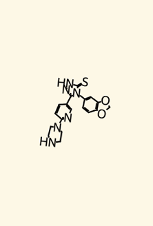 S=c1[nH]nc(-c2ccc(N3CCNCC3)nc2)n1-c1ccc2c(c1)OCO2